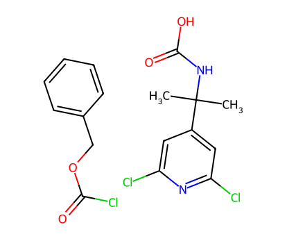 CC(C)(NC(=O)O)c1cc(Cl)nc(Cl)c1.O=C(Cl)OCc1ccccc1